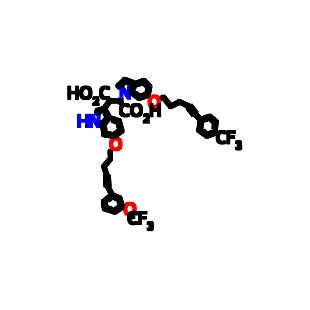 O=C(O)C(c1c[nH]c2cc(OCCCC#Cc3cccc(OC(F)(F)F)c3)ccc12)C(C(=O)O)n1ccc2ccc(OCCCC#Cc3ccc(C(F)(F)F)cc3)cc21